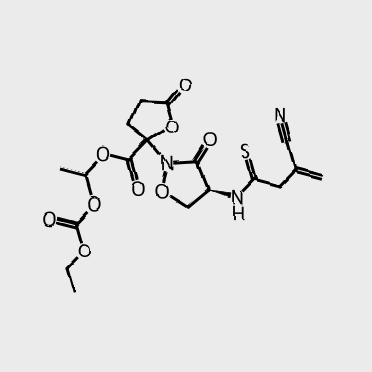 C=C(C#N)CC(=S)N[C@H]1CON(C2(C(=O)OC(C)OC(=O)OCC)CCC(=O)O2)C1=O